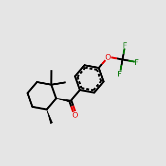 C[C@H]1CCCC(C)(C)[C@H]1C(=O)c1ccc(OC(F)(F)F)cc1